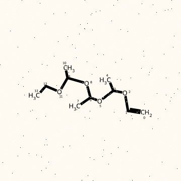 C=COC(C)OC(C)OC(C)OCC